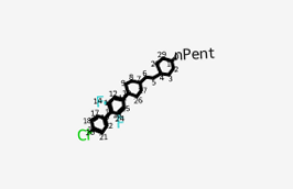 CCCCCC1CCC(CCC2CCC(c3cc(F)c(-c4ccc(Cl)cc4)c(F)c3)CC2)CC1